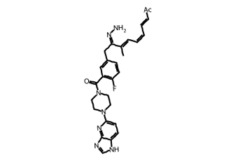 CC(=O)/C=C/C=C\C=C(C)\C(Cc1ccc(F)c(C(=O)N2CCN(c3ccc4[nH]cnc4n3)CC2)c1)=N/N